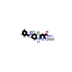 COc1nc(N[C@H]2CC[C@H](N(Cc3ccccc3)C(=O)O)CC2)c(F)cc1C(N)=O